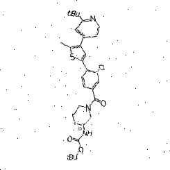 Cc1sc(-c2ccc(C(=O)N3CCC[C@H](NC(=O)OC(C)(C)C)C3)cc2Cl)cc1-c1ccnc(C(C)(C)C)c1